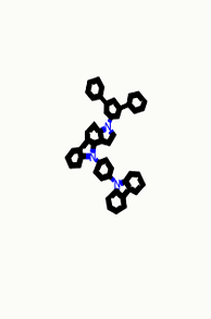 c1ccc(-c2cc(-c3ccccc3)cc(-n3ccc4c3ccc3c5ccccc5n(-c5ccc(-n6c7ccccc7c7ccccc76)cc5)c34)c2)cc1